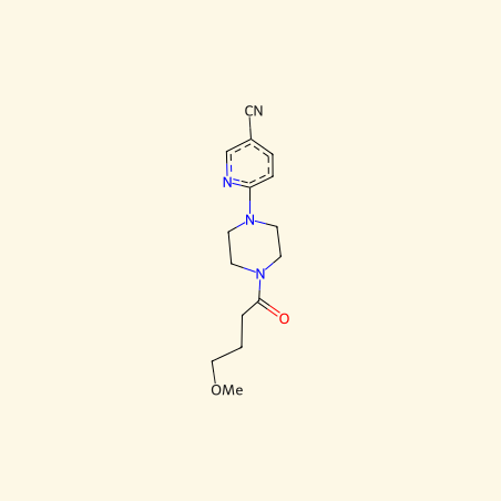 COCCCC(=O)N1CCN(c2ccc(C#N)cn2)CC1